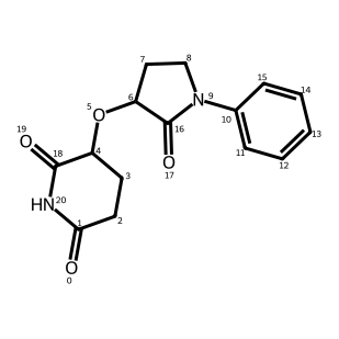 O=C1CCC(OC2CCN(c3ccccc3)C2=O)C(=O)N1